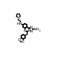 Nc1nc2c3ccc(NCCN4CCCC4)cc3nc(Cc3ccc4c(c3)OCO4)n2n1